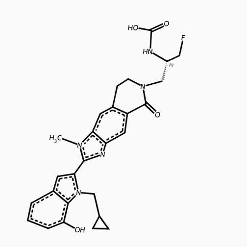 Cn1c(-c2cc3cccc(O)c3n2CC2CC2)nc2cc3c(cc21)CCN(C[C@@H](CF)NC(=O)O)C3=O